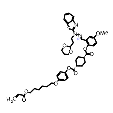 C=CC(=O)OCCCCCCOc1ccc(OC(=O)[C@H]2CC[C@H](C(=O)Oc3ccc(OC)cc3/C=N/N(CCC3OCCCO3)c3nc4ccccc4s3)CC2)cc1